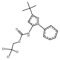 CC(C)(C)c1cc(NC(=O)OCC(Cl)(Cl)Cl)n(-c2ccccc2)n1